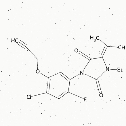 C#CCOc1cc(N2C(=O)C(=C(C)C)N(CC)C2=O)c(F)cc1Cl